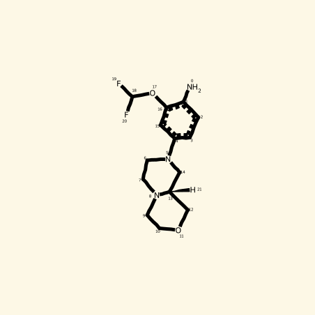 Nc1ccc(N2CCN3CCOC[C@H]3C2)cc1OC(F)F